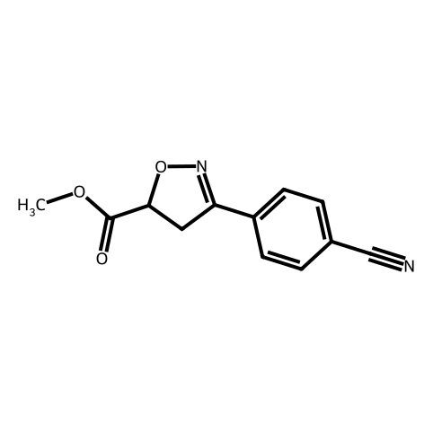 COC(=O)C1CC(c2ccc(C#N)cc2)=NO1